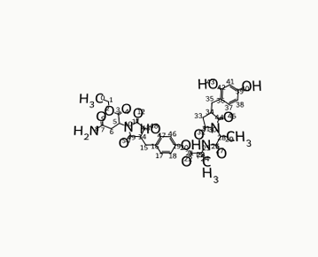 CCOC(=O)C(CC(N)=O)N1C(=O)CC(Cc2ccc(OC(=O)[C@H](C)NC(=O)C(C)N3C(=O)CC(Cc4ccc(O)cc4O)C3=O)cc2O)C1=O